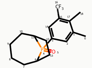 Cc1cc(P2(=O)C3CCCCC2CC3)cc(C(F)(F)F)c1C